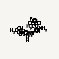 C[C@@H](Oc1cc(-c2cnn(C3CCN(C(=O)OC(C)(C)C)C[C@@H]3O)c2)cnc1N)c1c(Cl)ccc(F)c1Cl